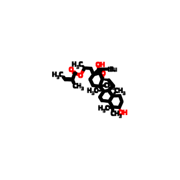 C/C=C(/C)C(=O)O[C@H](C)CC12CC[C@]3(C)[C@@](CCC4[C@@]5(C)CC[C@H](O)C(C)(C)C5CC[C@]43C)(OC1O)C2CC(C)(C)C